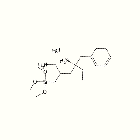 C=CC(N)(Cc1ccccc1)CC(CN)C[Si](OC)(OC)OC.Cl